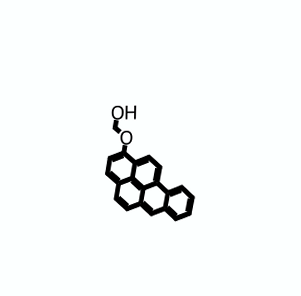 OCOc1ccc2ccc3cc4ccccc4c4ccc1c2c34